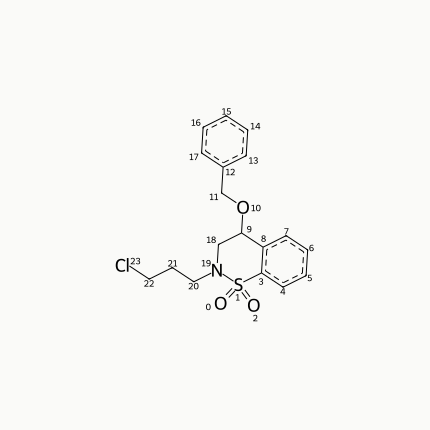 O=S1(=O)c2ccccc2C(OCc2ccccc2)CN1CCCCl